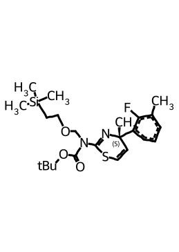 Cc1cccc([C@]2(C)C=CSC(N(COCC[Si](C)(C)C)C(=O)OC(C)(C)C)=N2)c1F